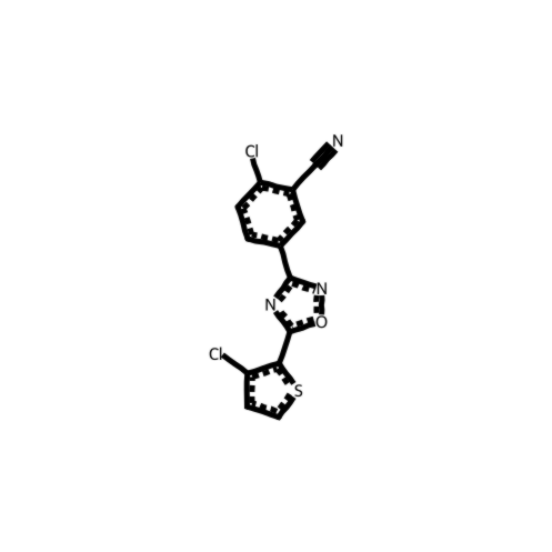 N#Cc1cc(-c2noc(-c3sccc3Cl)n2)ccc1Cl